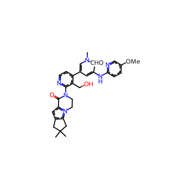 COc1ccc(N/C(C)=C/C(=C\N(C)C=O)c2ccnc(N3CCn4c(cc5c4CC(C)(C)C5)C3=O)c2CO)nc1